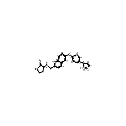 O=C1NCCC1NCc1ccc2cc(Oc3ccc(-c4ccn[nH]4)cn3)ccc2n1